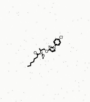 CCCCCCC(=O)N(OC)C(C)COc1ccn(-c2ccc(Cl)cc2)n1